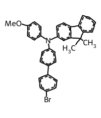 COc1ccc(N(c2ccc(-c3ccc(Br)cc3)cc2)c2ccc3c(c2)C(C)(C)c2ccccc2-3)cc1